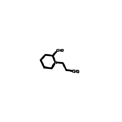 O=CCCN1CCCCC1C=O